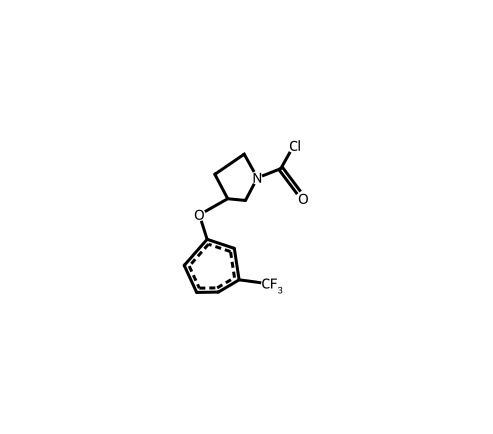 O=C(Cl)N1CCC(Oc2cccc(C(F)(F)F)c2)C1